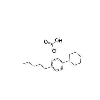 CCCCCc1ccc(C2CCCCC2)cc1.O=C(O)Cl